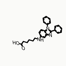 O=C(O)CCCCCNc1ccc2c(c1)nc(-c1ccccc1)n2-c1ccccc1